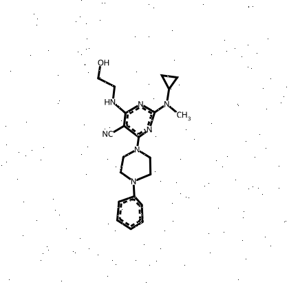 CN(c1nc(NCCO)c(C#N)c(N2CCN(c3ccccc3)CC2)n1)C1CC1